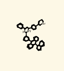 C1=CNCC(c2ccc(C3C=C(c4ccccc4)NC(c4cccc(-c5c6ccccc6c(-c6cccc7ccccc67)c6ccccc56)c4)N3)cc2)=C1